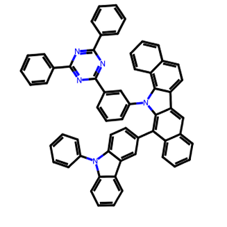 c1ccc(-c2nc(-c3ccccc3)nc(-c3cccc(-n4c5c(-c6ccc7c(c6)c6ccccc6n7-c6ccccc6)c6ccccc6cc5c5ccc6ccccc6c54)c3)n2)cc1